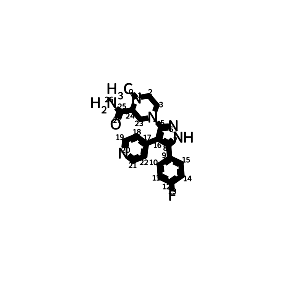 CN1CCN(c2n[nH]c(-c3ccc(F)cc3)c2-c2ccncc2)CC1C(N)=O